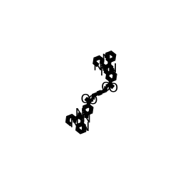 O=C(OCC#CCOC(=O)c1ccc2nc(-c3ccccn3)c(-c3ccccn3)nc2c1)c1ccc2nc(-c3ccccn3)c(-c3ccccn3)nc2c1